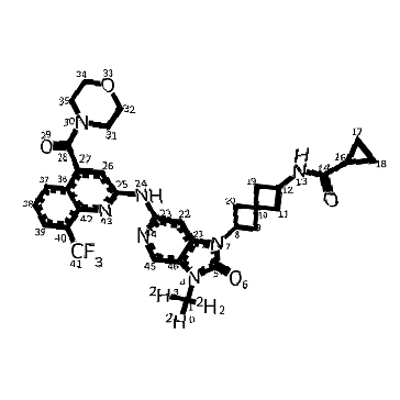 [2H]C([2H])([2H])n1c(=O)n(C2CC3(CC(NC(=O)C4CC4)C3)C2)c2cc(Nc3cc(C(=O)N4CCOCC4)c4cccc(C(F)(F)F)c4n3)ncc21